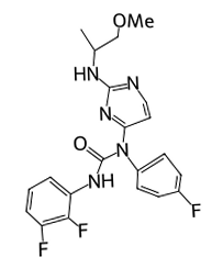 COCC(C)Nc1nccc(N(C(=O)Nc2cccc(F)c2F)c2ccc(F)cc2)n1